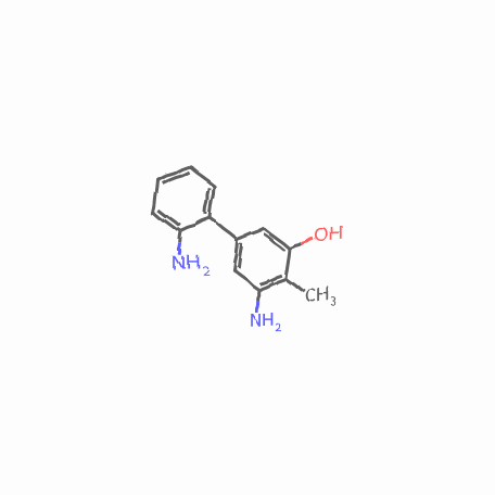 Cc1c(N)cc(-c2ccccc2N)cc1O